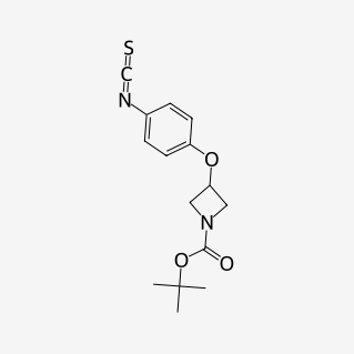 CC(C)(C)OC(=O)N1CC(Oc2ccc(N=C=S)cc2)C1